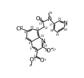 COC(=O)c1cc2cc(Cl)cc(CC(=O)N(C)c3cccnc3)c2nc1OC